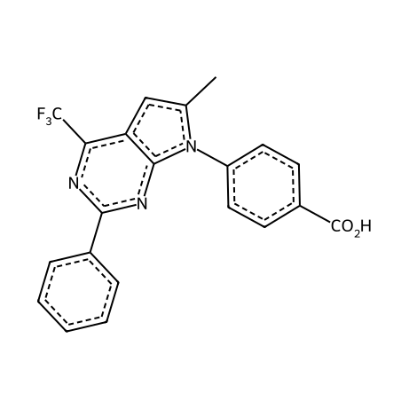 Cc1cc2c(C(F)(F)F)nc(-c3ccccc3)nc2n1-c1ccc(C(=O)O)cc1